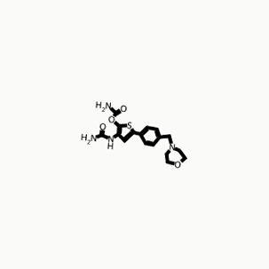 NC(=O)Nc1cc(-c2ccc(CN3CCOCC3)cc2)sc1OC(N)=O